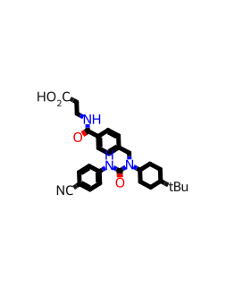 CC(C)(C)C1CCC(N(Cc2ccc(C(=O)NCCC(=O)O)cc2)C(=O)Nc2ccc(C#N)cc2)CC1